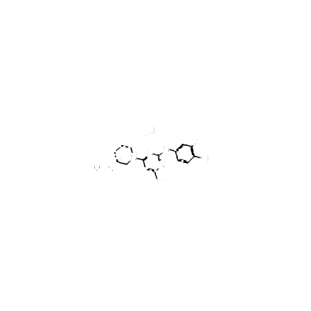 CCCc1cc(N2CCC[C@@H](NC)C2)nc(Nc2ccc(C)c(C(F)(F)F)c2)n1.Cl.Cl